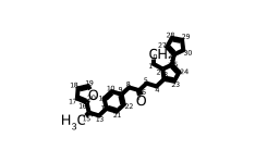 CCC1C(CCC(=O)Cc2ccc(CC(C)c3ccco3)cc2)=CC=C1C1=CC=CC1